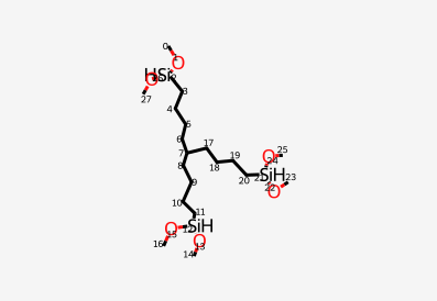 CO[SiH](CCCCC(CCCC[SiH](OC)OC)CCCC[SiH](OC)OC)OC